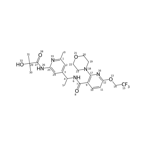 Cc1cc(C(C)NC(=O)c2ccc(OCC(F)(F)F)nc2N2CCOCC2)cc(NC(=O)C(C)(C)O)n1